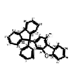 Clc1cc(C2(c3ccccc3)c3ccccc3-c3ccccc32)cc2oc3ccccc3c12